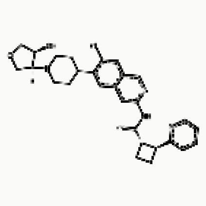 C[C@]1(N2CCC(c3cc4cc(NC(=O)[C@H]5CC[C@@H]5c5ccccn5)ncc4cc3Cl)CC2)COC[C@H]1O